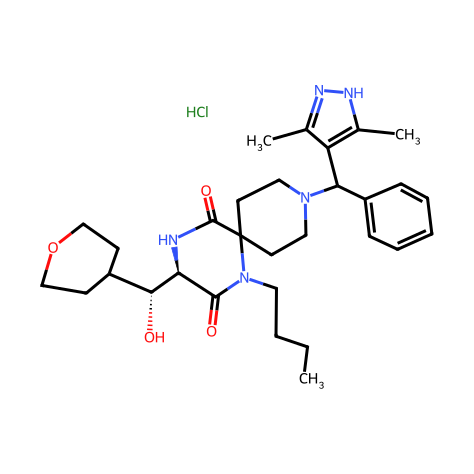 CCCCN1C(=O)[C@@H]([C@H](O)C2CCOCC2)NC(=O)C12CCN(C(c1ccccc1)c1c(C)n[nH]c1C)CC2.Cl